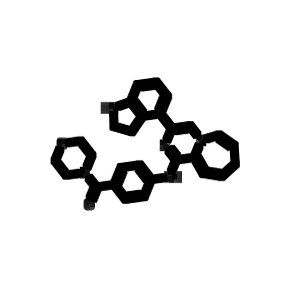 O=C(c1ccc(NC2=NC(c3cccc4c3CCN4)=CN3C=CCC=C=C23)cc1)N1CCOCC1